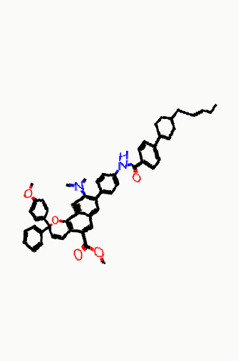 CCCCCC1CCC(c2ccc(C(=O)Nc3ccc(-c4cc5cc(C(=O)OC)c6c(c5cc4N(C)C)OC(c4ccccc4)(c4ccc(OC)cc4)C=C6)cc3)cc2)CC1